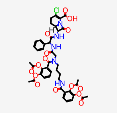 CC(=O)Oc1cccc(C(=O)NCCCCN(CC(=O)N[C@H](C(=O)N[C@@H]2C(=O)N3C(C(=O)O)=C(Cl)CC[C@H]23)c2ccccc2)C(=O)c2cccc(OC(C)=O)c2OC(C)=O)c1OC(C)=O